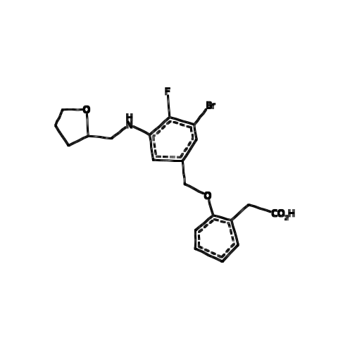 O=C(O)Cc1ccccc1OCc1cc(Br)c(F)c(NCC2CCCO2)c1